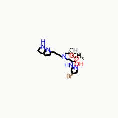 COC(C)CN(CCCCc1ccc2c(n1)NCCC2)CCC(Nc1cc(Br)ccn1)C(=O)O